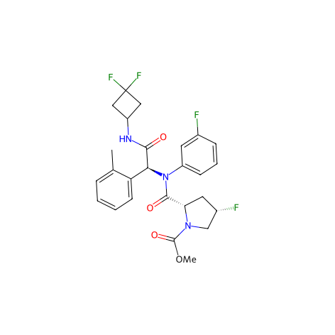 COC(=O)N1C[C@@H](F)C[C@H]1C(=O)N(c1cccc(F)c1)[C@H](C(=O)NC1CC(F)(F)C1)c1ccccc1C